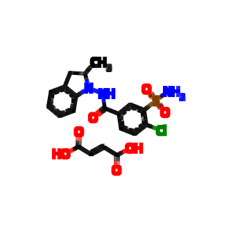 CC1Cc2ccccc2N1NC(=O)c1ccc(Cl)c(S(N)(=O)=O)c1.O=C(O)C=CC(=O)O